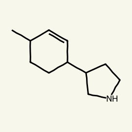 CC1C=CC(C2CCNC2)CC1